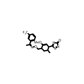 COC1=CC(C2=NC(=O)N=N2)C(C)CC1CO/N=C(/C)c1cccc(C(F)(F)F)c1